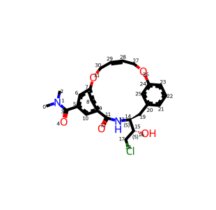 CN(C)C(=O)c1cc2cc(c1)C(=O)N[C@H]([C@H](O)CCl)Cc1cccc(c1)OCC=CCO2